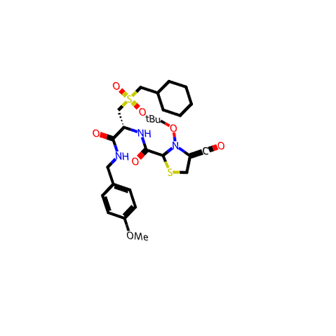 COc1ccc(CNC(=O)[C@H](CS(=O)(=O)CC2CCCCC2)NC(=O)C2SCC(=C=O)N2OC(C)(C)C)cc1